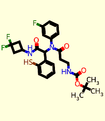 CC(C)(C)OC(=O)NCCC(=O)N(c1cccc(F)c1)C(C(=O)NC1CC(F)(F)C1)c1ccccc1S